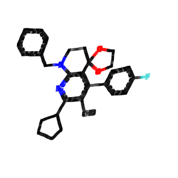 O=Cc1c(C2CCCC2)nc2c(c1-c1ccc(F)cc1)C1(CCN2Cc2ccccc2)OCCO1